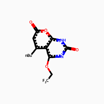 CCCCc1cc(=O)oc2[nH]c(=O)nc(OCC(F)(F)F)c12